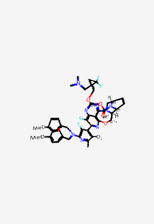 COc1ccc(CN(Cc2ccc(OC)cc2)c2nc(C)c(C(F)(F)F)c(-c3nc4c5c(nc(OCC6(CN(C)C)CC6(F)F)nc5c3F)N3C[C@H]5CC[C@@H]([C@H]3[C@H](C)O4)N5C(=O)OC(C)(C)C)c2F)cc1